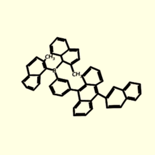 CC1=CC=C2C=CC=CC2C1B(c1cccc(-c2c3ccccc3c(-c3ccc4ccccc4c3)c3ccccc23)c1)c1c(C)ccc2ccccc12